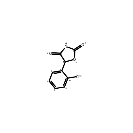 O=C1NC(=O)C(c2ccccc2Cl)O1